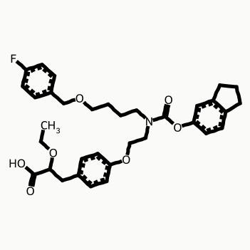 CCOC(Cc1ccc(OCCN(CCCCOCc2ccc(F)cc2)C(=O)Oc2ccc3c(c2)CCC3)cc1)C(=O)O